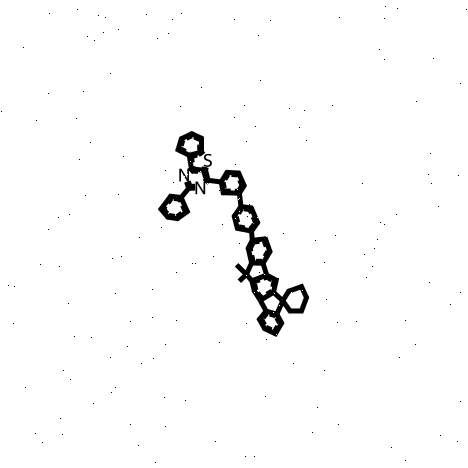 CC1(C)c2cc(-c3ccc(-c4cccc(-c5nc(-c6ccccc6)nc6c5sc5ccccc56)c4)cc3)ccc2-c2cc3c(cc21)-c1ccccc1C31CCCCC1